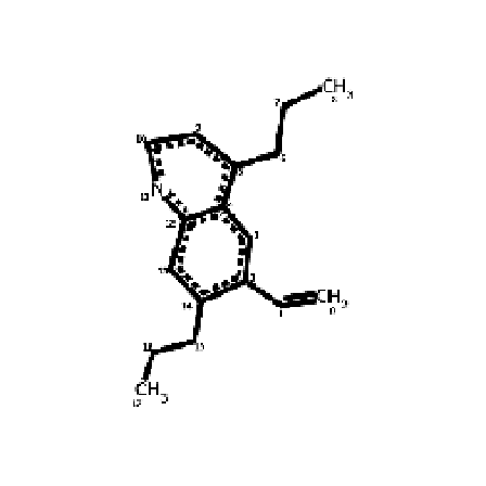 C=Cc1cc2c(CCC)ccnc2cc1CCC